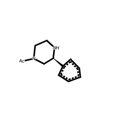 CC(=O)N1CCN[C@@H](c2ccccc2)C1